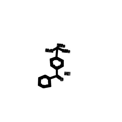 CNC(NC)(NC)c1ccc(C(=O)c2ccccc2)cc1.Cl